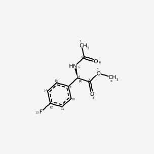 COC(=O)[C@H](NC(C)=O)c1ccc(F)cc1